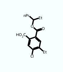 CCCC(CC)OC(=O)c1cc(CC)c(Cl)cc1C(=O)O